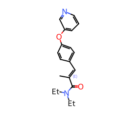 CCN(CC)C(=O)/C(C)=C/c1ccc(Oc2cccnc2)cc1